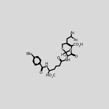 CC(=O)C(CC1=C(C(=O)O)N2C(=O)[C@@H](NC(=O)CCCC(NC(=O)c3ccc(C(C)(C)C)cc3)C(=O)O)[C@@H]2SC1)C(C)=O